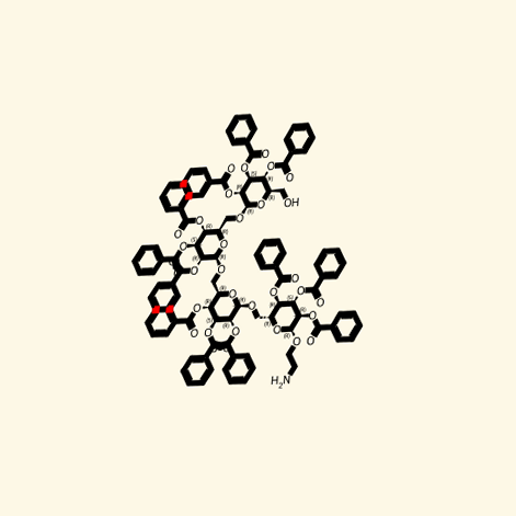 NCCO[C@@H]1O[C@H](CO[C@@H]2O[C@H](CO[C@@H]3O[C@H](CO[C@@H]4O[C@H](CO)[C@@H](OC(=O)c5ccccc5)[C@H](OC(=O)c5ccccc5)[C@H]4OC(=O)c4ccccc4)[C@@H](OC(=O)c4ccccc4)[C@H](OC(=O)c4ccccc4)[C@H]3OC(=O)c3ccccc3)[C@@H](OC(=O)c3ccccc3)[C@H](OC(=O)c3ccccc3)[C@H]2OC(=O)c2ccccc2)[C@@H](OC(=O)c2ccccc2)[C@H](OC(=O)c2ccccc2)[C@H]1OC(=O)c1ccccc1